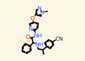 CC(CNC(C(=O)Nc1ccc(Oc2cnn(C)c2)cn1)c1ccccc1)c1ccc(C#N)cc1